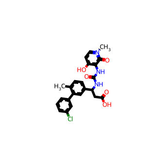 Cc1ccc(C(CC(=O)O)NC(=O)Nc2c(O)ccn(C)c2=O)cc1-c1cccc(Cl)c1